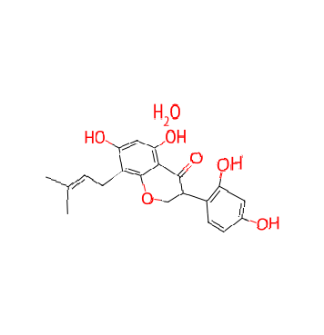 CC(C)=CCc1c(O)cc(O)c2c1OCC(c1ccc(O)cc1O)C2=O.O